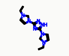 CCN1C=CN(c2n[nH]c(N3C=CN(CC)C3)n2)C1